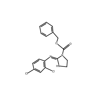 O=C(OCc1ccccc1)N1CCN/C1=N\c1ccc(Cl)cc1Cl